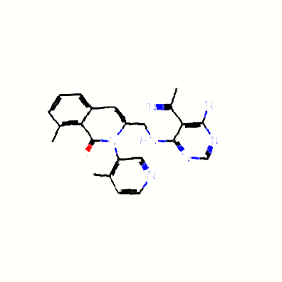 CC(=N)c1c(N)ncnc1NCc1cc2cccc(C)c2c(=O)n1-c1cnccc1C